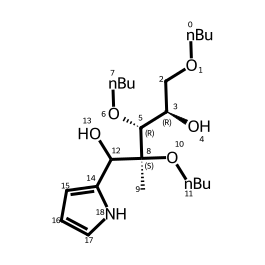 CCCCOC[C@@H](O)[C@@H](OCCCC)[C@@](C)(OCCCC)C(O)c1ccc[nH]1